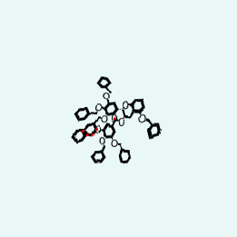 O=C(O[C@@H]1Cc2c(OCc3ccccc3)cccc2O[C@H]1c1cc(OCc2ccccc2)c(OCc2ccccc2)c(OCc2ccccc2)c1)c1cc(OCc2ccccc2)c(OCc2ccccc2)c(OCc2ccccc2)c1